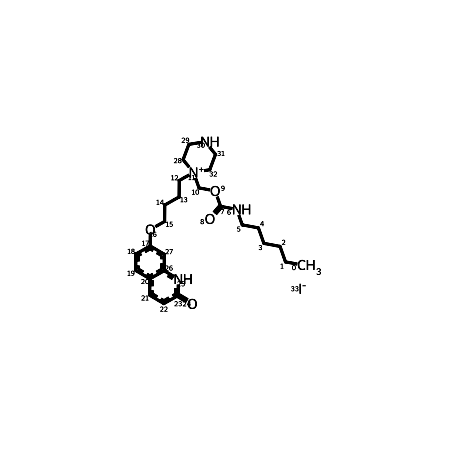 CCCCCCNC(=O)OC[N+]1(CCCCOc2ccc3ccc(=O)[nH]c3c2)CCNCC1.[I-]